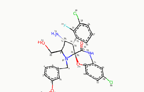 CCOc1cccc(CN2C(CO)[C@H](N)[C@H](c3cccc(Cl)c3F)[C@@]23Oc2ccc(Cl)cc2NC3=O)c1